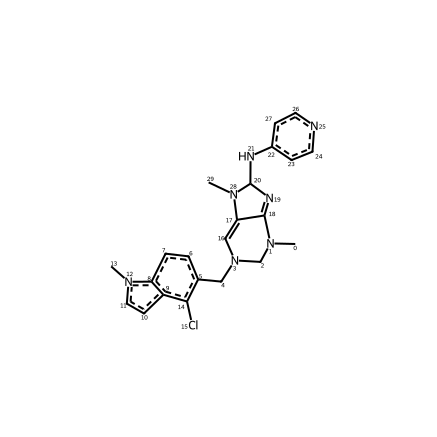 CN1CN(Cc2ccc3c(ccn3C)c2Cl)C=C2C1=NC(Nc1ccncc1)N2C